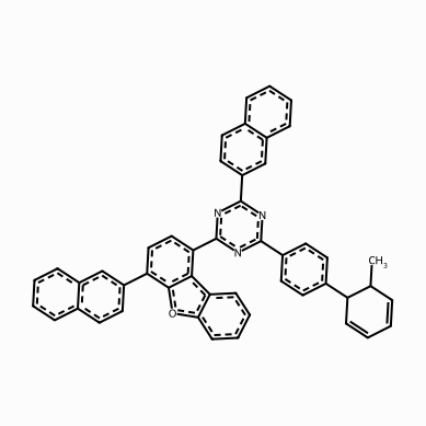 CC1C=CC=CC1c1ccc(-c2nc(-c3ccc4ccccc4c3)nc(-c3ccc(-c4ccc5ccccc5c4)c4oc5ccccc5c34)n2)cc1